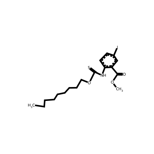 CCCCCCCCCOC(=S)Nc1ccc(I)cc1C(=O)OC